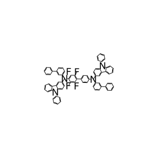 Fc1c(F)c(N(c2cccc(-c3ccccc3)c2)c2ccc3c(c2)c2ccccc2n3-c2ccccc2)c(F)c(F)c1-c1ccc(N(c2cccc(-c3ccccc3)c2)c2ccc3c(c2)c2ccccc2n3-c2ccccc2)cc1